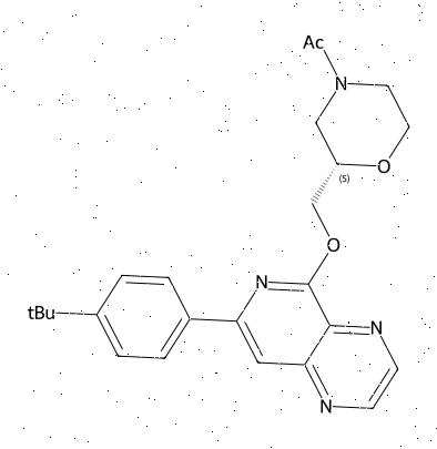 CC(=O)N1CCO[C@H](COc2nc(-c3ccc(C(C)(C)C)cc3)cc3nccnc23)C1